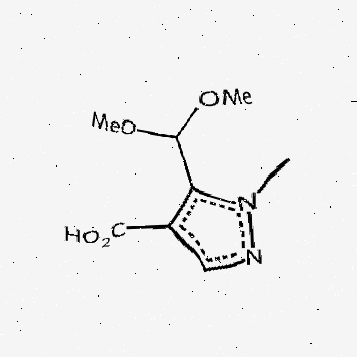 COC(OC)c1c(C(=O)O)cnn1C